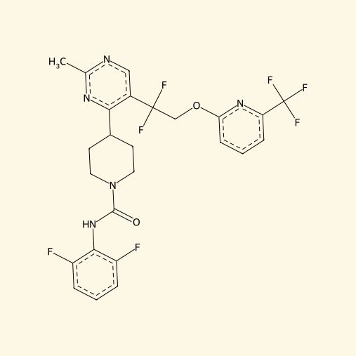 Cc1ncc(C(F)(F)COc2cccc(C(F)(F)F)n2)c(C2CCN(C(=O)Nc3c(F)cccc3F)CC2)n1